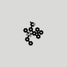 Cc1cncc(-c2cccc(-c3cc4c(cc3-c3nc(-c5ccccc5)nc(-c5cccc(-c6ccccc6)c5)n3)-c3ccccc3C4(c3ccccc3)c3ccccc3)c2)c1